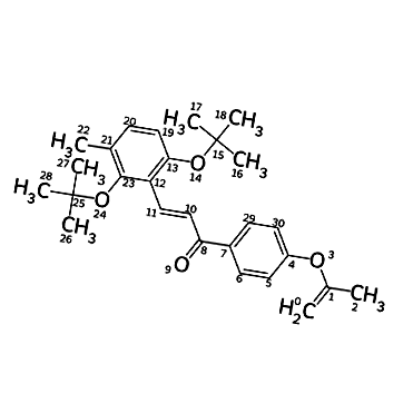 C=C(C)Oc1ccc(C(=O)C=Cc2c(OC(C)(C)C)ccc(C)c2OC(C)(C)C)cc1